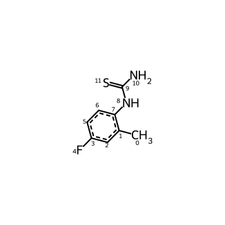 Cc1cc(F)ccc1NC(N)=S